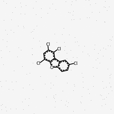 Clc1ccc2oc3c(Cl)cc(Cl)c(Cl)c3c2c1